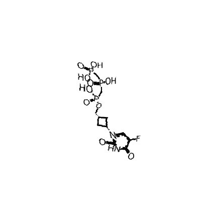 O=c1[nH]c(=O)n([C@H]2C[C@@H](COP(=O)(O)CP(=O)(O)CP(=O)(O)O)C2)cc1F